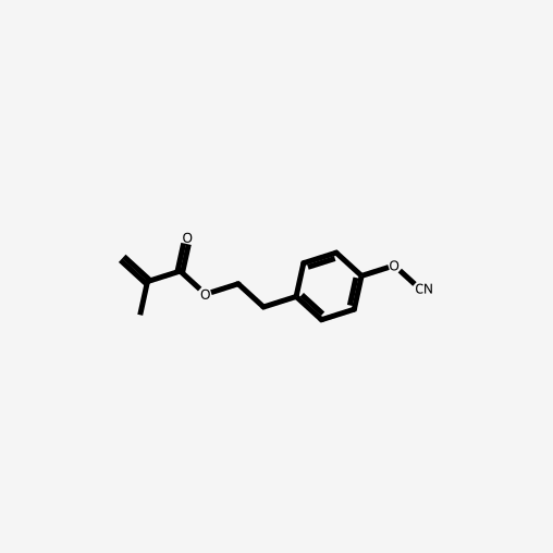 C=C(C)C(=O)OCCc1ccc(OC#N)cc1